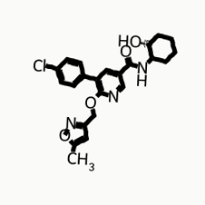 Cc1cc(COc2ncc(C(=O)NC3CCCC[C@H]3O)cc2-c2ccc(Cl)cc2)no1